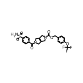 NS(=O)(=O)c1ccc(C(=O)N2CC3=C(CN(C(=O)OCc4ccc(OC(F)(F)F)cc4)C3)C2)cc1